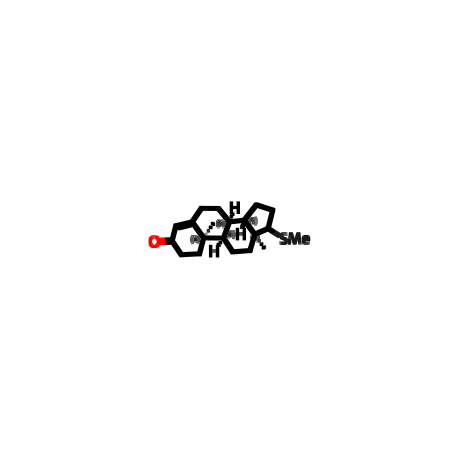 CSC1CC[C@H]2[C@@H]3CCC4=CC(=O)CC[C@]4(C)[C@@H]3CC[C@]12C